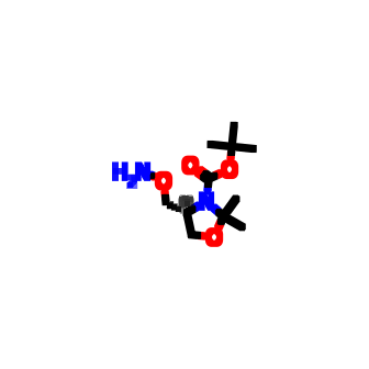 CC(C)(C)OC(=O)N1[C@@H](CON)COC1(C)C